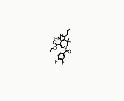 CCCc1n[nH]c2c1C(C)(C)CN(C(=O)c1ccc(F)c(F)c1)C=C2C(=O)OCC